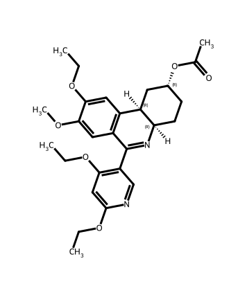 CCOc1cc(OCC)c(C2=N[C@@H]3CC[C@@H](OC(C)=O)C[C@@H]3c3cc(OCC)c(OC)cc32)cn1